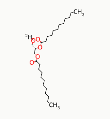 [2H]OC[C@@H](COC(=O)CCCCCCCCCCC)OC(=O)CCCCCCCCCCC